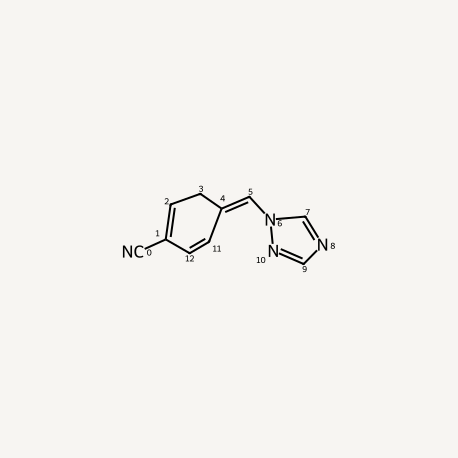 N#CC1=CCC(=Cn2cncn2)C=C1